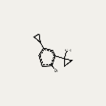 OC1(c2cc(C3CC3)ccc2Br)CC1